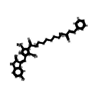 Cc1[nH]c(C=C2C(=O)Nc3ccc(F)cc32)c(C)c1C(=O)NCCCCCCNC(=O)/C=C/c1cccnc1